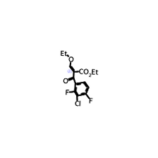 CCO/C=C(\C(=O)OCC)C(=O)c1ccc(F)c(Cl)c1F